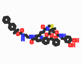 CC(C)(OC(=O)NCCNC(=O)c1ccnc(/C=C/C(=O)N2CSC(C)(COC(=O)NCc3ccc(O)c(O)c3)[C@@H]2C(=O)OC(c2ccccc2)c2ccccc2)c1)c1ccc(-c2ccccc2)cc1